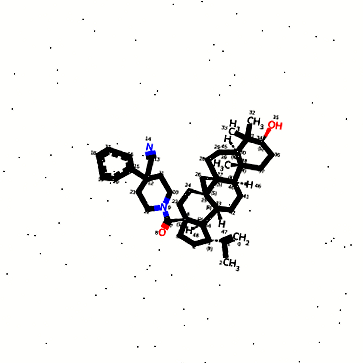 C=C(C)[C@@H]1CC[C@]2(C(=O)N3CCC(C#N)(c4ccccc4)CC3)CC[C@@]34C[C@]35CC[C@H]3C(C)(C)[C@@H](O)CC[C@]3(C)[C@H]5CC[C@@H]4[C@@H]12